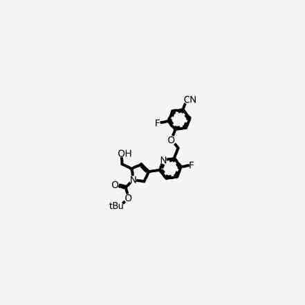 CC(C)(C)OC(=O)N1CC(c2ccc(F)c(COc3ccc(C#N)cc3F)n2)=CC1CO